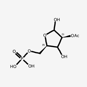 CC(=O)O[C@@H]1C(O)O[C@H](COP(=O)(O)O)C1O